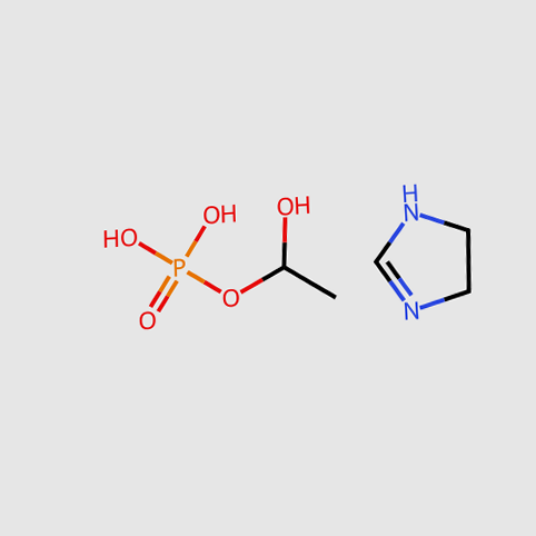 C1=NCCN1.CC(O)OP(=O)(O)O